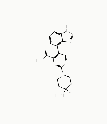 CC1(N)CCN(c2ncc(-c3cccc4[nH]cnc34)c(C(N)=O)n2)CC1